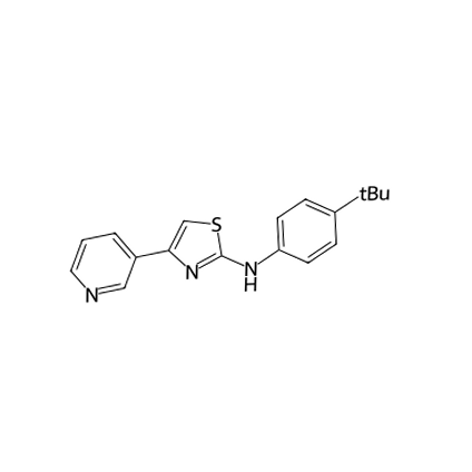 CC(C)(C)c1ccc(Nc2nc(-c3cccnc3)cs2)cc1